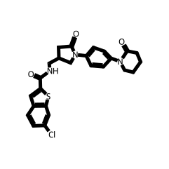 O=C(NCC1CC(=O)N(c2ccc(N3CCCCC3=O)cc2)C1)c1cc2ccc(Cl)cc2s1